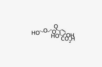 O=C(OCCOCCO)c1ccc(O)c(C(=O)O)c1O